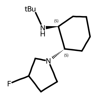 CC(C)(C)N[C@H]1CCCC[C@@H]1N1CCC(F)C1